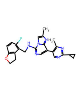 Cc1cn2c(NCc3c(F)ccc4c3CCO4)ncc(-c3cnc(C4CC4)nc3C)c2n1